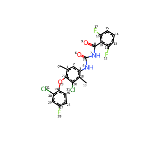 Cc1cc(NC(=O)NC(=O)c2c(F)cccc2F)c(C)c(Cl)c1Oc1ccc(F)cc1Cl